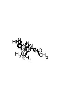 C=CC(=O)N1CC(c2nc3ncn(-c4c(C)ccc5[nH]ncc45)c(=O)c3n2CCCN(C)C)C1